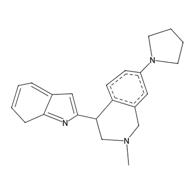 CN1Cc2cc(N3CCCC3)ccc2C(C2=CC3=CC=CCC3=N2)C1